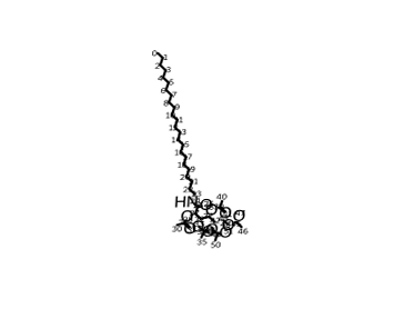 CCCCCCCCCCCCCCCCCCCCCCCCNC(=O)[C@H](OC(C)=O)[C@@H](OC(C)=O)[C@H](OC(C)=O)[C@H](COC(C)=O)OC(C)=O